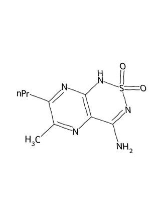 CCCc1nc2c(nc1C)C(N)=NS(=O)(=O)N2